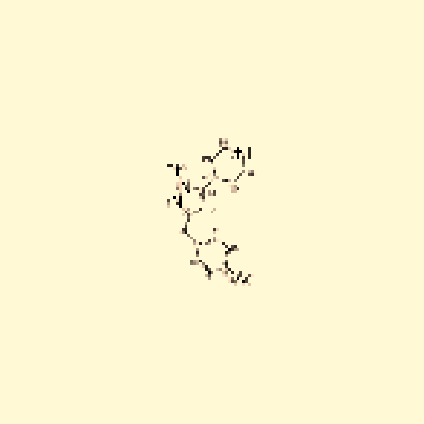 CCn1nc(Cc2ccc(C(C)=O)cc2)cc1C1CCNCC1